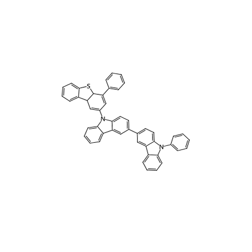 C1=C(c2ccccc2)C2Sc3ccccc3C2C=C1n1c2ccccc2c2cc(-c3ccc4c(c3)c3ccccc3n4-c3ccccc3)ccc21